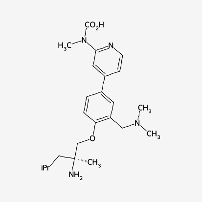 CC(C)C[C@](C)(N)COc1ccc(-c2ccnc(N(C)C(=O)O)c2)cc1CN(C)C